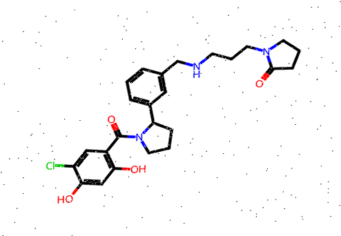 O=C1CCCN1CCCNCc1cccc(C2CCCN2C(=O)c2cc(Cl)c(O)cc2O)c1